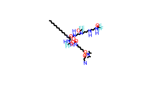 CCCCCCCCCCCCC/C=C/[C@@H](OC(=O)NCCCN(CCCCNCCCNC(=O)C(F)(F)F)C(=O)C(F)(F)F)[C@H](COC(=O)NCCCCCCOP(OCCC#N)N(C(C)C)C(C)C)NC(=O)C(F)(F)F